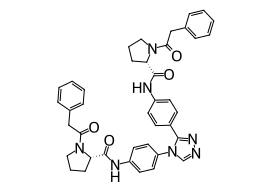 O=C(Nc1ccc(-c2nncn2-c2ccc(NC(=O)[C@@H]3CCCN3C(=O)Cc3ccccc3)cc2)cc1)[C@@H]1CCCN1C(=O)Cc1ccccc1